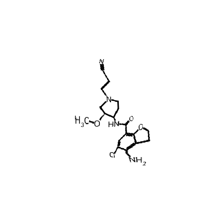 CO[C@H]1CN(CCC#N)CC[C@H]1NC(=O)c1cc(Cl)c(N)c2c1OCC2